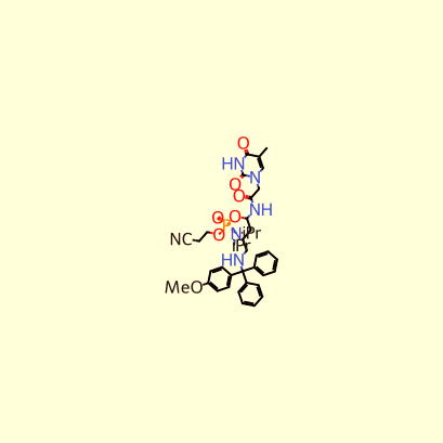 COc1ccc(C(NCCCC(NC(=O)Cn2cc(C)c(=O)[nH]c2=O)OP(=O)(OCCC#N)N(C(C)C)C(C)C)(c2ccccc2)c2ccccc2)cc1